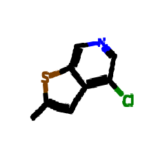 Cc1cc2c(Cl)cncc2s1